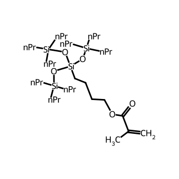 C=C(C)C(=O)OCCCC[Si](O[Si](CCC)(CCC)CCC)(O[Si](CCC)(CCC)CCC)O[Si](CCC)(CCC)CCC